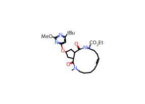 CCOC(=O)C1CCC=CCCCCN(C)C(=O)C2CC(Oc3cc(C(C)(C)C)nc(OC)n3)CC2C(=O)N1